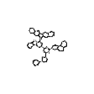 c1ccc(-c2cccc(-c3nc(-c4ccc5c(ccc6ccccc65)c4)nc(-c4cc(-n5c6cc7ccccc7cc6c6cc7ccccc7cc65)c5oc6ccccc6c5c4)n3)c2)cc1